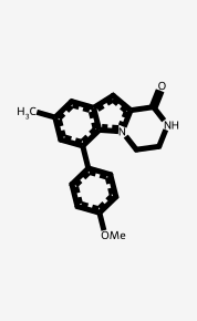 COc1ccc(-c2cc(C)cc3cc4n(c23)CCNC4=O)cc1